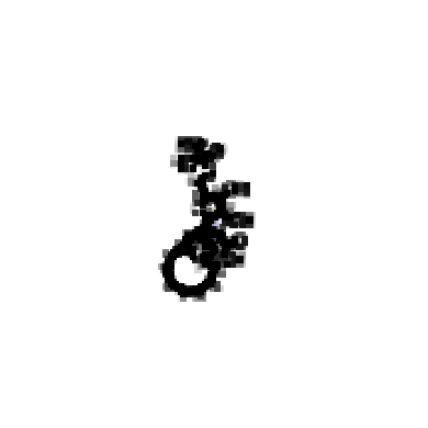 O=C1/C=C\C2C3CCCCCCC(CCC2C2OC(COP(=O)(O)O)C(O)C2O)(N1)C(O)C3